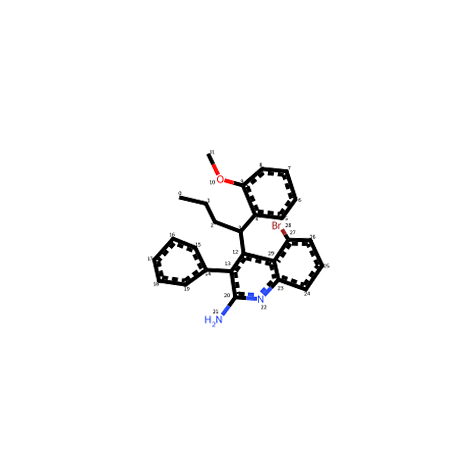 CCCC(c1ccccc1OC)c1c(-c2ccccc2)c(N)nc2cccc(Br)c12